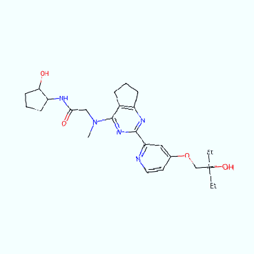 CCC(O)(CC)COc1ccnc(-c2nc3c(c(N(C)CC(=O)NC4CCCC4O)n2)CCC3)c1